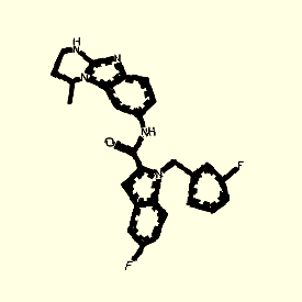 CC1CCNc2nc3ccc(NC(=O)c4cc5cc(F)ccc5n4Cc4cccc(F)c4)cc3n21